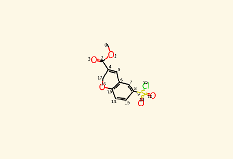 COC(=O)C1=Cc2cc(S(=O)(=O)Cl)ccc2OC1